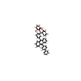 c1ccc(-c2ccc(-c3c4ccccc4c(-c4ccc5c(c4)B4c6ccccc6Oc6cccc(c64)O5)c4ccccc34)cc2)cc1